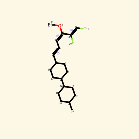 CCOC(=C/C=C/C1CCC(C2CCC(C)CC2)CC1)/C(F)=C/F